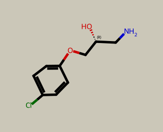 NC[C@@H](O)COc1ccc(Cl)cc1